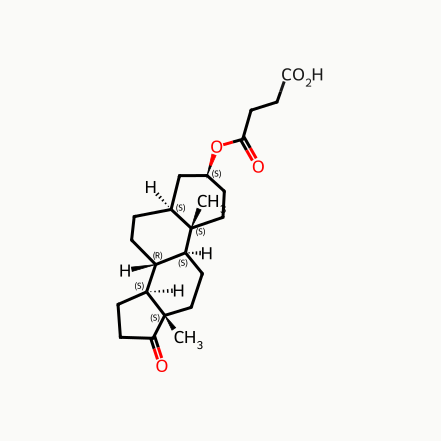 C[C@]12CC[C@H](OC(=O)CCC(=O)O)C[C@@H]1CC[C@@H]1[C@@H]2CC[C@]2(C)C(=O)CC[C@@H]12